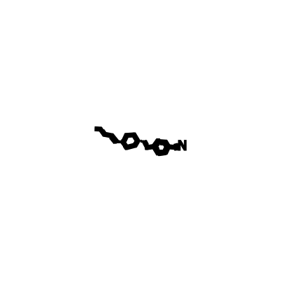 CCCC=C[C@H]1CC[C@H](CCc2ccc(C#N)cc2)CC1